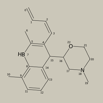 C=C/C=C\C1=C(C)Bc2c(C)cccc2C1C1CN(C)CCO1